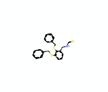 S=[C]NCc1cccc(SCc2ccccc2)c1SCc1ccccc1